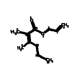 C=CCOC(=O)C(C)=C(C)CCC